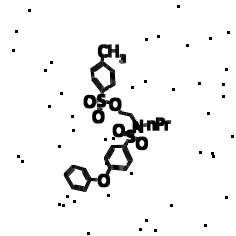 CCCN(CCOS(=O)(=O)c1ccc(C)cc1)S(=O)(=O)c1ccc(Oc2ccccc2)cc1